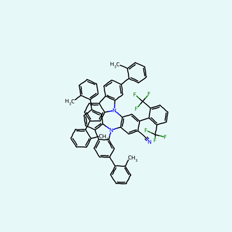 Cc1ccccc1-c1ccc2c3ccc(-c4ccccc4C)cc3n(-c3cc(C#N)c(-c4c(C(F)(F)F)cccc4C(F)(F)F)cc3-n3c4cc(-c5ccccc5C)ccc4c4ccc(-c5ccccc5C)cc43)c2c1